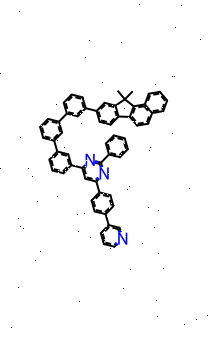 CC1(C)c2cc(-c3cccc(-c4cccc(-c5cccc(-c6cc(-c7ccc(-c8cccnc8)cc7)nc(-c7ccccc7)n6)c5)c4)c3)ccc2-c2ccc3ccccc3c21